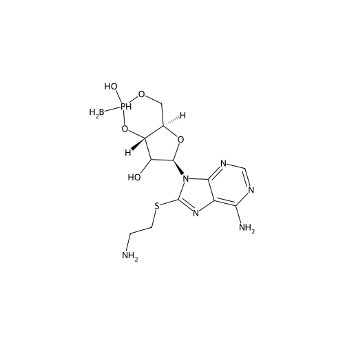 B[PH]1(O)OC[C@H]2O[C@@H](n3c(SCCN)nc4c(N)ncnc43)C(O)[C@@H]2O1